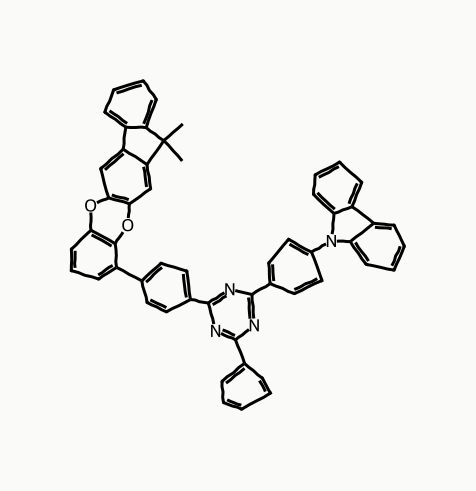 CC1(C)c2ccccc2-c2cc3c(cc21)Oc1c(cccc1-c1ccc(-c2nc(-c4ccccc4)nc(-c4ccc(-n5c6ccccc6c6ccccc65)cc4)n2)cc1)O3